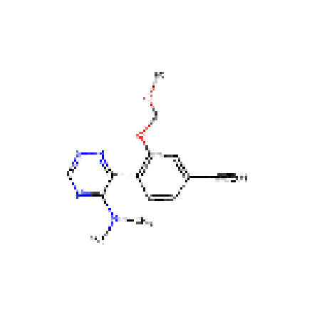 C#Cc1ccc(-c2nncnc2N(C)C)c(OCOCC)c1